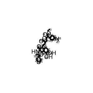 CCOC(=O)/C(=C1C=C(/C=C/C2C3(CO3)C(NC(C)C(=O)N3CCOCC3)CC3[C@]2(C)CC[C@@H](O)[C@@]3(C)CO)C(=O)O/1)c1ccc(N(C)C)cc1